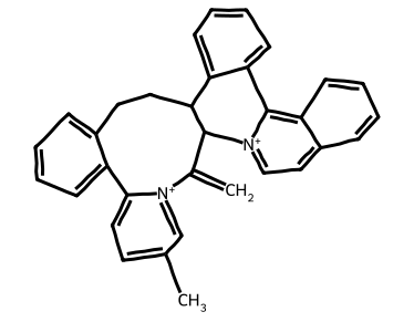 C=C1C2C(CCc3ccccc3-c3ccc(C)c[n+]31)c1ccccc1-c1c3ccccc3cc[n+]12